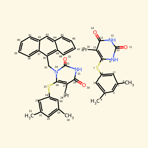 Cc1cc(C)cc(Sc2[nH]c(=O)[nH]c(=O)c2C(C)C)c1.Cc1cc(C)cc(Sc2c(C(C)C)c(=O)[nH]c(=O)n2Cc2c3ccccc3cc3ccccc23)c1